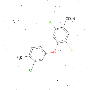 O=C(O)c1cc(F)c(Oc2ccc(C(F)(F)F)c(Cl)c2)cc1F